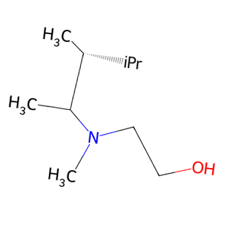 CC(C)[C@@H](C)C(C)N(C)CCO